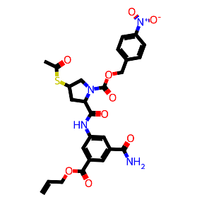 C=CCOC(=O)c1cc(NC(=O)C2CC(SC(C)=O)CN2C(=O)OCc2ccc([N+](=O)[O-])cc2)cc(C(N)=O)c1